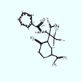 C=C(C)C1CCC(=C)C(C(NC(=O)c2ccccc2)(C(=O)O)C(F)(F)F)C1